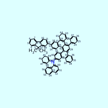 CC1(C)c2ccccc2-c2ccc(-c3ccc4c(c3)c3c(c5c(-c6ccccc6)cc(-c6ccccc6)c(-c6ccc(N(C7=CCCC=C7)c7cccc8ccccc78)cc6)c54)C=CCC3)cc21